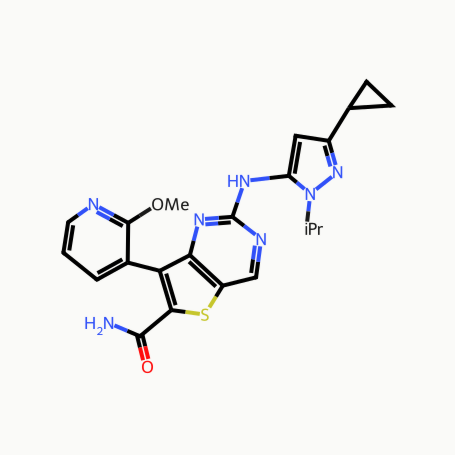 COc1ncccc1-c1c(C(N)=O)sc2cnc(Nc3cc(C4CC4)nn3C(C)C)nc12